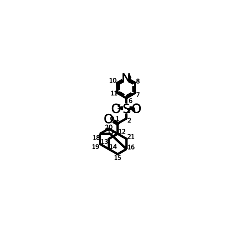 O=C(CS(=O)(=O)c1ccncc1)C12CC3CC(CC(C3)C1)C2